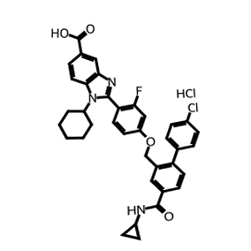 Cl.O=C(O)c1ccc2c(c1)nc(-c1ccc(OCc3cc(C(=O)NC4CC4)ccc3-c3ccc(Cl)cc3)cc1F)n2C1CCCCC1